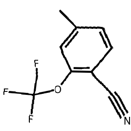 Cc1ccc(C#N)c(OC(F)(F)F)c1